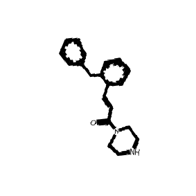 O=C(/C=C/c1ccccc1Cc1ccccc1)N1CCNCC1